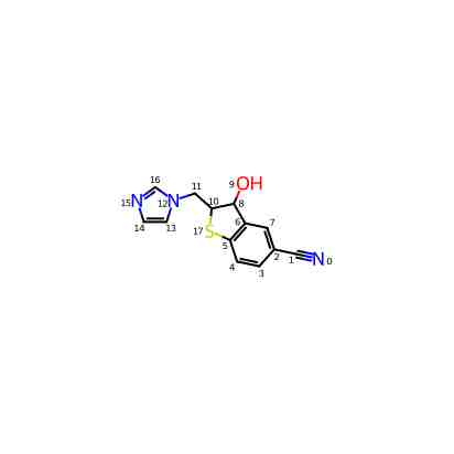 N#Cc1ccc2c(c1)C(O)C(Cn1ccnc1)S2